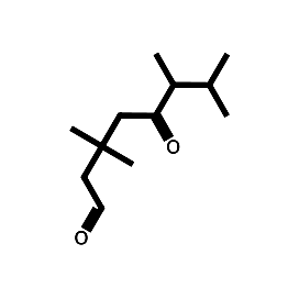 CC(C)C(C)C(=O)CC(C)(C)CC=O